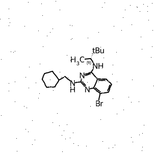 C[C@@H](Nc1nc(NCC2CCCCC2)nc2c(Br)cccc12)C(C)(C)C